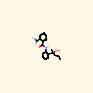 CCCC(C)(O)c1ccccc1NC(=O)c1ccccc1C(F)F